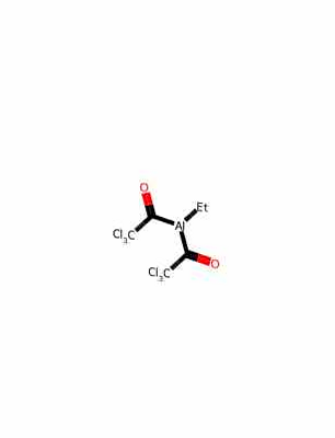 C[CH2][Al]([C](=O)C(Cl)(Cl)Cl)[C](=O)C(Cl)(Cl)Cl